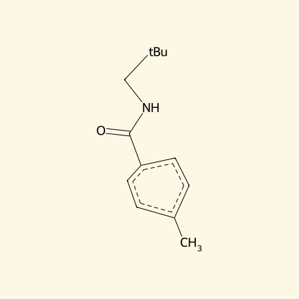 Cc1ccc(C(=O)NCC(C)(C)C)cc1